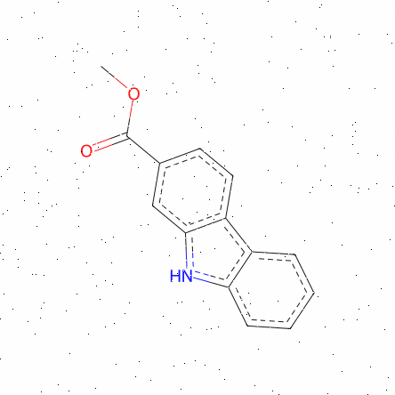 COC(=O)c1ccc2c(c1)[nH]c1ccccc12